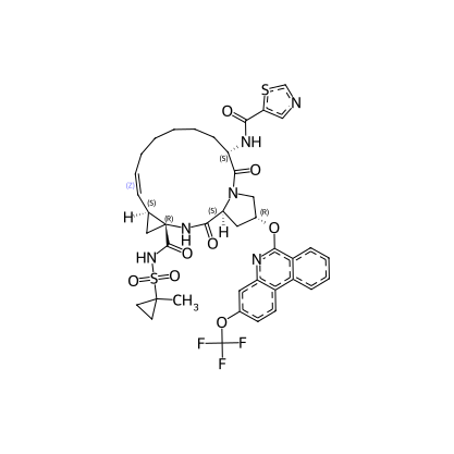 CC1(S(=O)(=O)NC(=O)[C@@]23C[C@H]2/C=C\CCCCC[C@H](NC(=O)c2cncs2)C(=O)N2C[C@H](Oc4nc5cc(OC(F)(F)F)ccc5c5ccccc45)C[C@H]2C(=O)N3)CC1